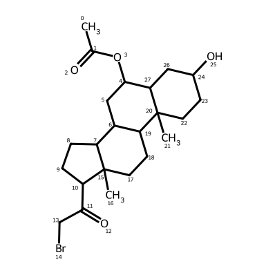 CC(=O)OC1CC2C3CCC(C(=O)CBr)C3(C)CCC2C2(C)CCC(O)CC12